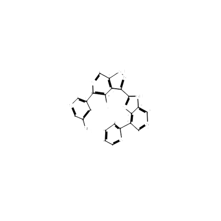 Nc1cncc(-c2ncc3[nH]nc(-c4nc5c(-c6ccccn6)cncc5[nH]4)c3c2F)c1